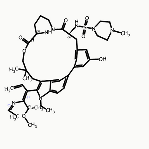 C=C/C(=C(\N=C/C)[C@H](C)OC)c1c2c3cc(ccc3n1CC)-c1cc(O)cc(c1)C[C@H](NS(=O)(=O)N1CCN(C)CC1)C(=O)N1CCC[C@H](N1)C(=O)OCC(C)(C)C2